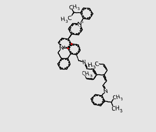 C\C=C/C(=C/C=N/c1ccccc1C(C)C)C(/C=C\C)=C/C=N/Cc1ccccc1-c1ccccc1C[n+]1ccc(-c2cc[n+](-c3ccccc3C(C)C)cc2)cc1